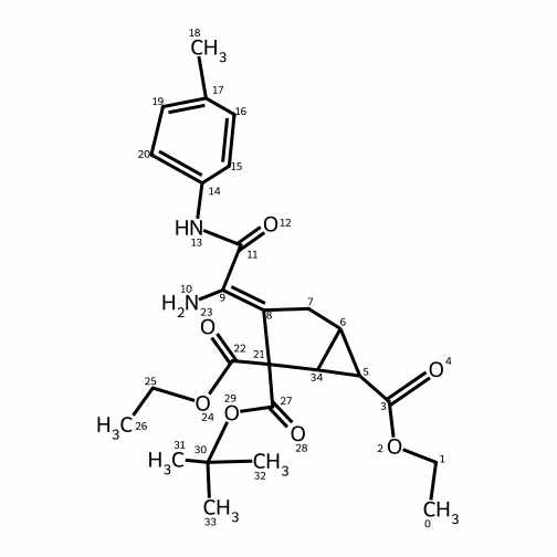 CCOC(=O)C1C2CC(=C(N)C(=O)Nc3ccc(C)cc3)C(C(=O)OCC)(C(=O)OC(C)(C)C)C21